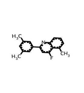 Cc1cc(C)cc(-c2cc(F)c3c(C)cccc3n2)c1